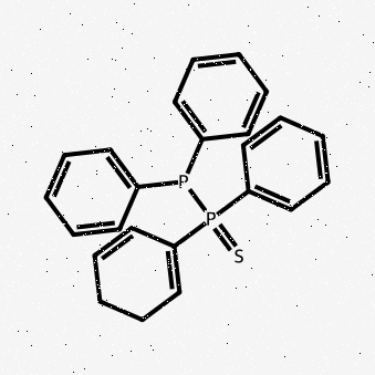 S=P(C1=CCCC=C1)(c1ccccc1)P(c1ccccc1)c1ccccc1